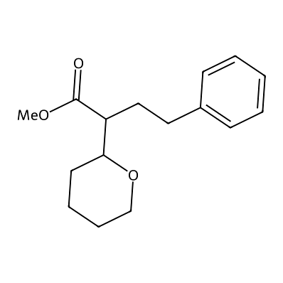 COC(=O)C(CCc1ccccc1)C1CCCCO1